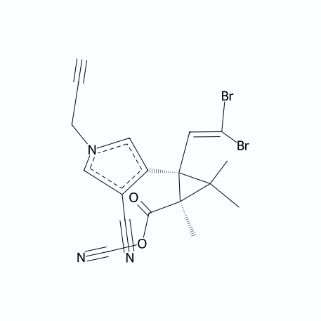 C#CCn1cc(C#N)c([C@]2(C=C(Br)Br)C(C)(C)[C@@]2(C)C(=O)OC#N)c1